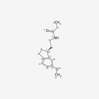 CCC(=O)NCC[C@@H]1CCc2ccc(OC)cc21